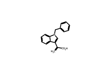 C=C(C(=O)O)c1cn(Cc2ccccc2)c2ccccc12